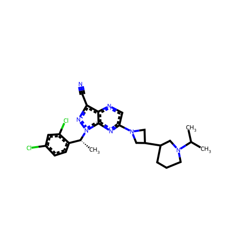 CC(C)N1CCCC(C2CN(c3cnc4c(C#N)nn([C@H](C)c5ccc(Cl)cc5Cl)c4n3)C2)C1